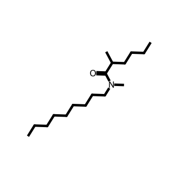 CCCCCCCCCN(C)C(=O)C(C)CCCC